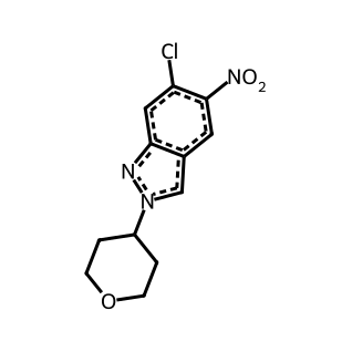 O=[N+]([O-])c1cc2cn(C3CCOCC3)nc2cc1Cl